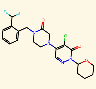 O=C1CN(c2cnn(C3CCCCO3)c(=O)c2Cl)CCN1Cc1ccccc1C(F)F